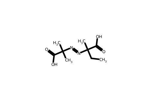 CCC(C)(N=NC(C)(C)C(=O)O)C(=O)O